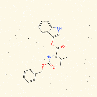 CC(C)[C@H](NC(=O)OCc1ccccc1)C(=O)Oc1c[nH]c2ccccc12